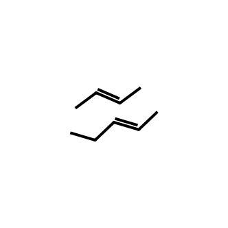 C/C=C/C.C/C=C/CC